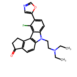 CCN(CC)CCn1c2ccc(-c3cnco3)c(F)c2c2c3c(ccc21)C(=O)CC3